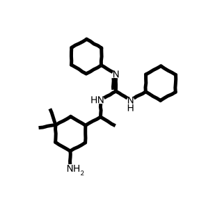 CC(NC(=NC1CCCCC1)NC1CCCCC1)C1CC(N)CC(C)(C)C1